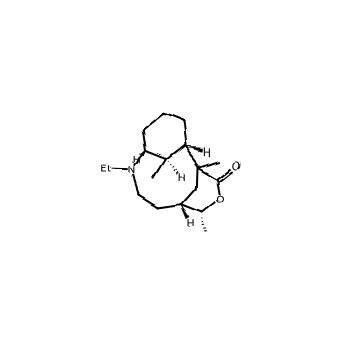 CCN1CC[C@@H]2CC(C)(C(=O)O[C@@H]2C)[C@H]2CCC[C@@H]1[C@@H]2C